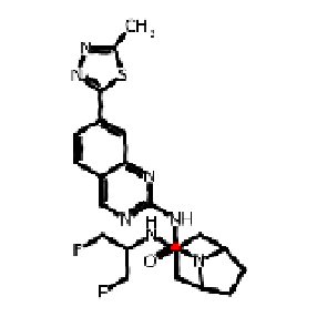 Cc1nnc(-c2ccc3cnc(NC(=O)N4C5CCC4CC(NC(CF)CF)C5)nc3c2)s1